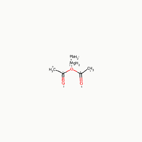 CC(=O)OC(C)=O.[MgH2].[PbH2]